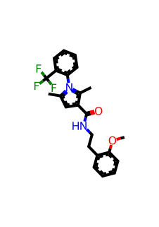 COc1ccccc1CCNC(=O)c1cc(C)n(-c2ccccc2C(F)(F)F)c1C